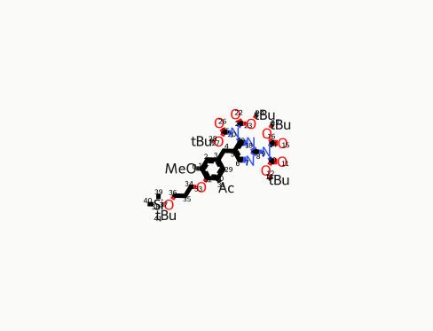 COc1cc(Cc2cnc(N(C(=O)OC(C)(C)C)C(=O)OC(C)(C)C)nc2N(C(=O)OC(C)(C)C)C(=O)OC(C)(C)C)cc(C(C)=O)c1OCCCO[Si](C)(C)C(C)(C)C